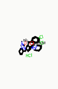 CCCC(C1=CC(Cc2ccccc2)(NC(=O)N(C)C)C=CC1(C(=O)NC)N1CCCCC1)c1ccc(Cl)c(Cl)c1.Cl